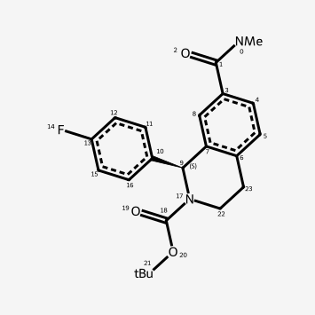 CNC(=O)c1ccc2c(c1)[C@H](c1ccc(F)cc1)N(C(=O)OC(C)(C)C)CC2